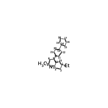 CCc1ccc2nc(C)cc(-c3ccc(-c4ccccc4)cc3)c2c1